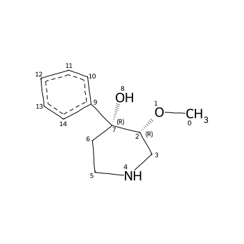 CO[C@@H]1CNCC[C@@]1(O)c1ccccc1